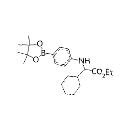 CCOC(=O)C(Nc1ccc(B2OC(C)(C)C(C)(C)O2)cc1)C1CCCCC1